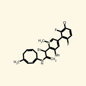 C=C(N/C1=C/C=C(/C)C/C=C\C1)C(CC)c1c(CCC)cc(-c2c(F)ccc(Cl)c2F)c[n+]1C